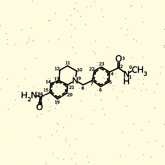 CNC(=O)c1ccc(CN2CCCc3cc(C(N)=O)ccc32)cc1